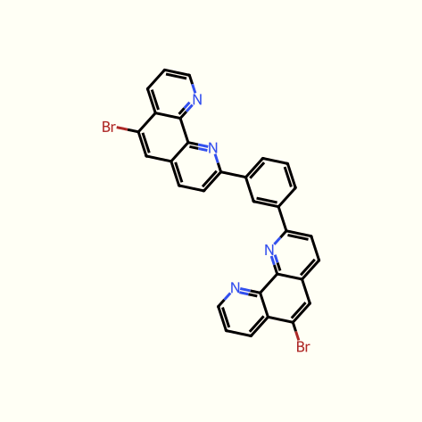 Brc1cc2ccc(-c3cccc(-c4ccc5cc(Br)c6cccnc6c5n4)c3)nc2c2ncccc12